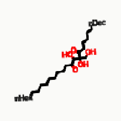 CCCCCCC=CCCCCCCCC(=O)C(O)C(O)(CO)C(=O)CCCCCCCCCCCCCCC